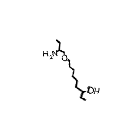 CCC(N)COCCCCCCC(O)CC